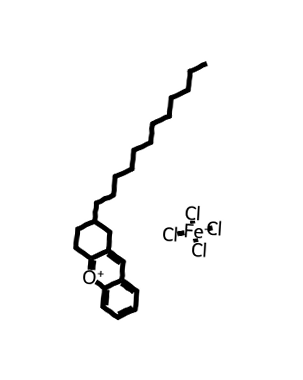 CCCCCCCCCCCCC1CCc2[o+]c3ccccc3cc2C1.[Cl][Fe-]([Cl])([Cl])[Cl]